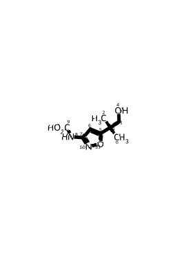 CC(C)(CO)c1cc(NC(=O)O)no1